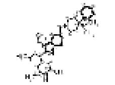 CCCC(c1nc2ccc(CN3CCC(c4ccccc4)(N(C)C)CC3)cc2n1CC)N1C[C@@H](C)N[C@@H](C)C1